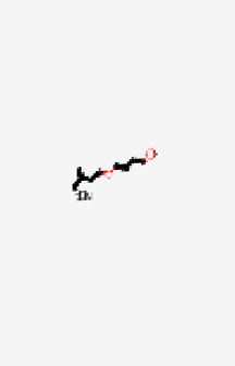 CC(CCOCCCC[O])CC(C)(C)C